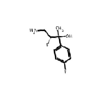 C[C@@](O)(c1ccc(F)cc1)[C@H](F)CN